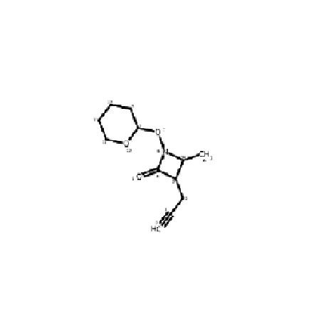 C#CCC1C(=O)N(OC2CCCCO2)C1C